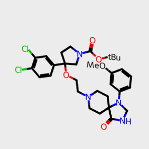 COc1cccc(N2CNC(=O)C23CCN(CCOC2(c4ccc(Cl)c(Cl)c4)CCN(C(=O)OC(C)(C)C)C2)CC3)c1